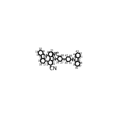 N#Cc1ccc2c3c(-n4c5ccccc5c5ccccc54)cccc3n(-c3ccc(-c4ccc(-n5c6ccccc6c6ccccc65)cc4)cc3C#N)c2c1